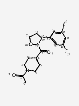 CC(=O)N1CCC(C(=O)N2OCC[C@H]2c2cc(F)cc(F)c2)CC1